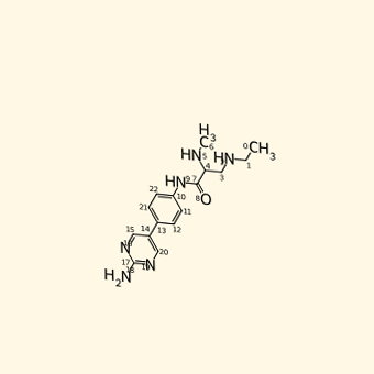 CCNCC(NC)C(=O)Nc1ccc(-c2cnc(N)nc2)cc1